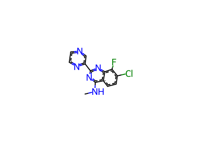 CNc1nc(-c2cnccn2)nc2c(F)c(Cl)ccc12